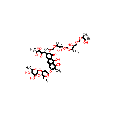 CC[C@H](O)C(C)OCOC[C@@H](O)C(C)OCOC[C@H](O)C(C)OCO[C@@H]1C(=O)c2c(cc3cc(O[C@H]4CC(O[C@H]5CC(O)[C@H](O)C(C)O5)[C@H](O)C(C)O4)c(C)c(O)c3c2O)CC1[C@H](OC)C(=O)[C@@H](O)[C@@H](C)O